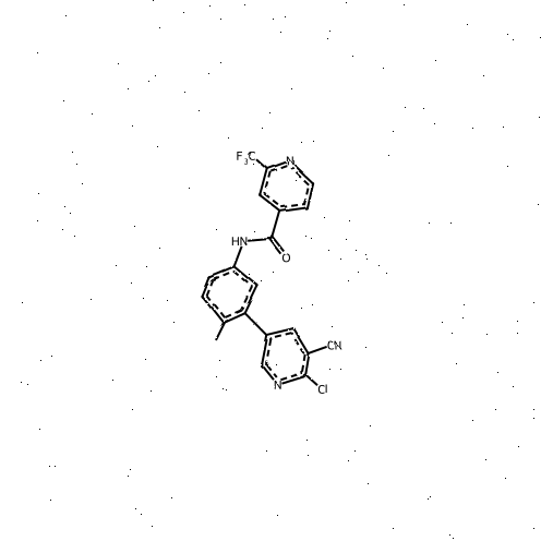 Cc1ccc(NC(=O)c2ccnc(C(F)(F)F)c2)cc1-c1cnc(Cl)c(C#N)c1